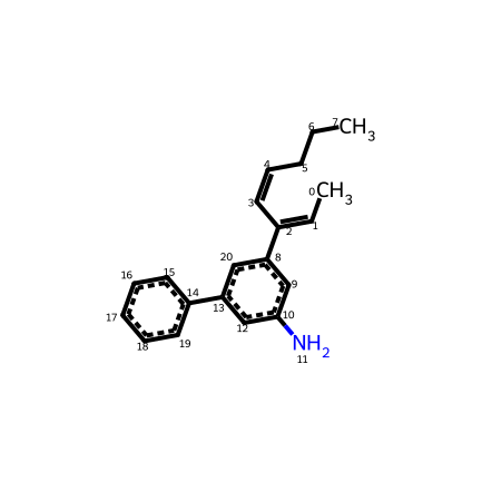 C/C=C(\C=C/CCC)c1cc(N)cc(-c2ccccc2)c1